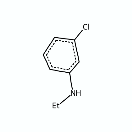 CCNc1cccc(Cl)c1